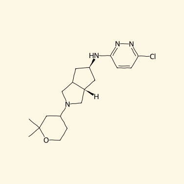 CC1(C)CC(N2CC3C[C@@H](Nc4ccc(Cl)nn4)C[C@@H]3C2)CCO1